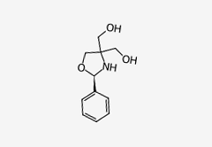 OCC1(CO)CO[C@H](c2ccccc2)N1